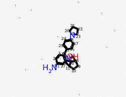 Nc1cccc(C2(O)C3CCC2CN(Cc2ccc(N4CCCC4)cc2)C3)c1